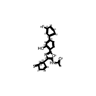 CC(=O)Nc1oc(-c2ccc(-c3cccc(F)c3)cc2O)nc1C1=CC(=S)CC=C1